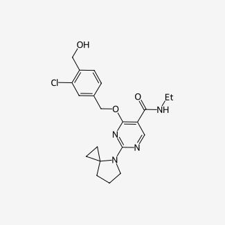 CCNC(=O)c1cnc(N2CCCC23CC3)nc1OCc1ccc(CO)c(Cl)c1